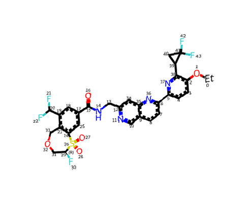 CCOc1ccc(-c2ccc3cnc(CNC(=O)c4cc(C(F)F)c5c(c4)S(=O)(=O)[C@@H](F)COC5)cc3n2)nc1C1CC1(F)F